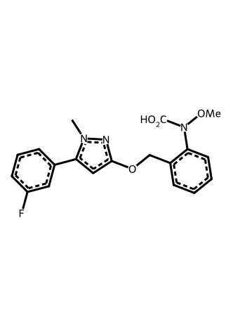 CON(C(=O)O)c1ccccc1COc1cc(-c2cccc(F)c2)n(C)n1